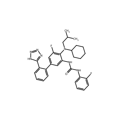 CC(C)CN(c1c(F)cc(-c2ccccc2-c2nnn[nH]2)cc1NC(=O)Nc1ccccc1F)C1CCCCC1